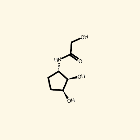 O=C(CO)N[C@H]1CC[C@H](O)[C@@H]1O